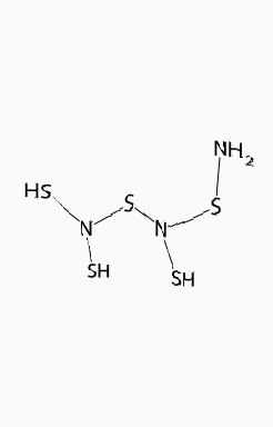 NSN(S)SN(S)S